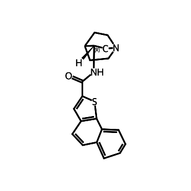 O=C(N[C@H]1CN2CCC1CC2)c1cc2ccc3ccccc3c2s1